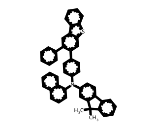 CC1(C)c2ccccc2-c2ccc(N(c3ccc(-c4cc5sc6ccccc6c5cc4-c4ccccc4)cc3)c3cccc4ccccc34)cc21